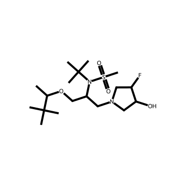 CC(OCC(CN1CC(O)C(F)C1)N(C(C)(C)C)S(C)(=O)=O)C(C)(C)C